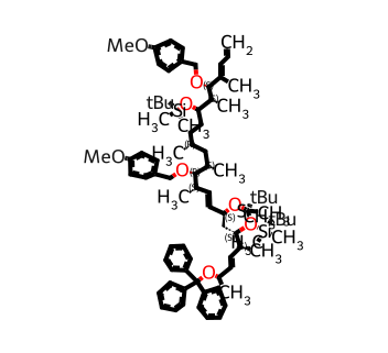 C=CC=C(C)[C@@H](OCc1ccc(OC)cc1)[C@H](C)C(CC[C@@H](C)C[C@H](C)[C@@H](OCc1ccc(OC)cc1)[C@@H](C)C=C[C@H](C[C@H](O[Si](C)(C)C(C)(C)C)[C@@H](C)C=CC(C)OC(c1ccccc1)(c1ccccc1)c1ccccc1)O[Si](C)(C)C(C)(C)C)O[Si](C)(C)C(C)(C)C